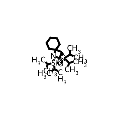 CC(C)[Si]1(C(C)C)O[Si](C(C)C)(C(C)C)N2C(=O)C1C21CCCCC1